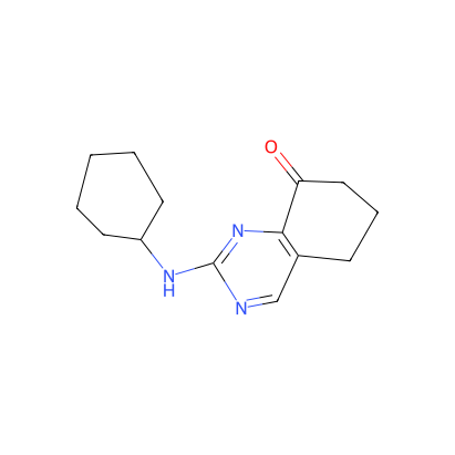 O=C1CCCc2cnc(NC3CCCCC3)nc21